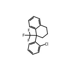 FC(F)(F)C1(c2ccccc2Cl)CCCc2ccccc21